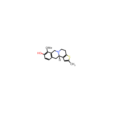 COc1c(O)ccc2c1CN1CCc3sc(C)cc3[C@@H]1C2